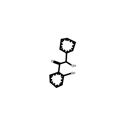 O=C(c1ccccc1S)C(O)c1ccccc1